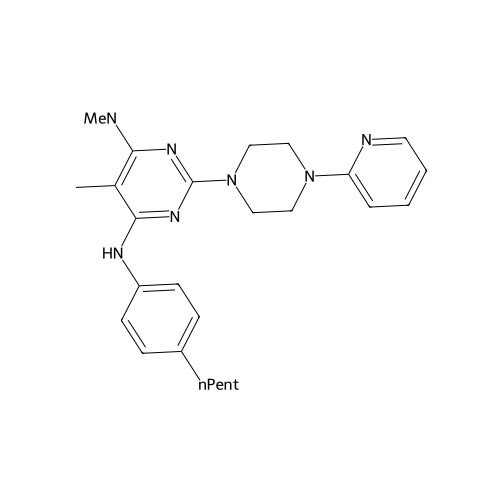 CCCCCc1ccc(Nc2nc(N3CCN(c4ccccn4)CC3)nc(NC)c2C)cc1